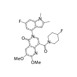 COc1cc2c(=O)n(-c3cc(F)cc4c3cc(C)n4C)cc(C(=O)N3CCC(F)CC3)c2nc1OC